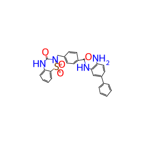 Nc1ccc(-c2ccccc2)cc1NC(=O)c1ccc(CN2C(=O)Nc3ccccc3S2(=O)=O)cc1